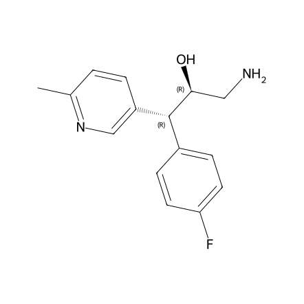 Cc1ccc([C@@H](c2ccc(F)cc2)[C@@H](O)CN)cn1